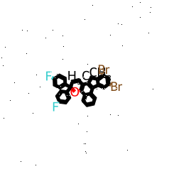 CC1(C)c2c(Br)cc(Br)cc2-c2c1c1c(c3ccccc23)OC(c2ccc(F)cc2)(c2ccc(F)cc2)C=C1